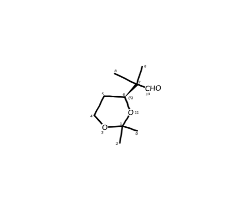 CC1(C)OCC[C@@H](C(C)(C)C=O)O1